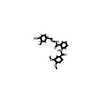 COc1ccc(C(=O)Nc2ccccc2C(=O)N/N=C/c2ccc(O)c(C)c2)cc1OC